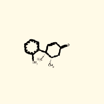 Cc1ccccc1[C@@]1(C)C=CC(=O)C[C@@H]1C